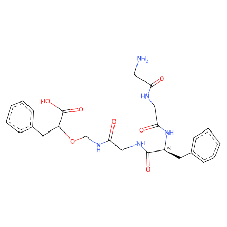 NCC(=O)NCC(=O)N[C@@H](Cc1ccccc1)C(=O)NCC(=O)NCOC(Cc1ccccc1)C(=O)O